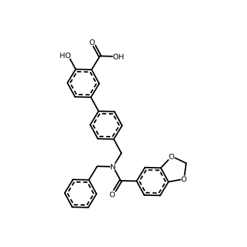 O=C(O)c1cc(-c2ccc(CN(Cc3ccccc3)C(=O)c3ccc4c(c3)OCO4)cc2)ccc1O